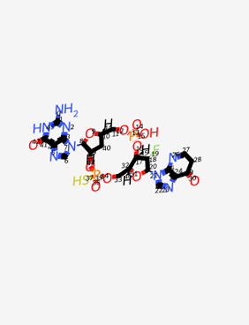 Nc1nc2c(ncn2[C@@H]2O[C@@H]3COP(=O)(O)O[C@H]4[C@H](F)[C@H](n5cnc6c5N=CCC6=O)O[C@@H]4COP(=O)(S)O[C@@H]2C3)c(=O)[nH]1